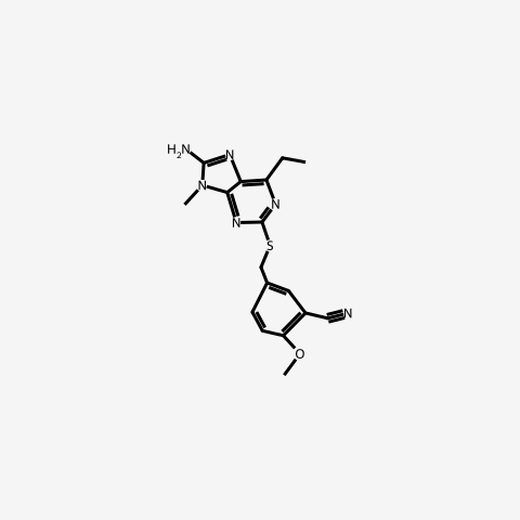 CCc1nc(SCc2ccc(OC)c(C#N)c2)nc2c1nc(N)n2C